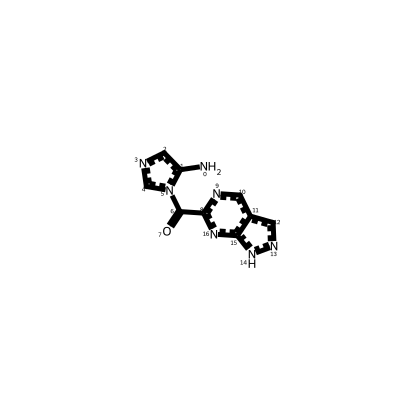 Nc1cncn1C(=O)c1ncc2cn[nH]c2n1